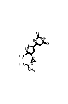 Cc1nnc(-c2cc(=O)[nH]c(=O)[nH]2)cc1[C@H]1C[C@@H]1C(C)C